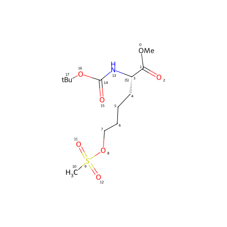 COC(=O)[C@H](CCCCOS(C)(=O)=O)NC(=O)OC(C)(C)C